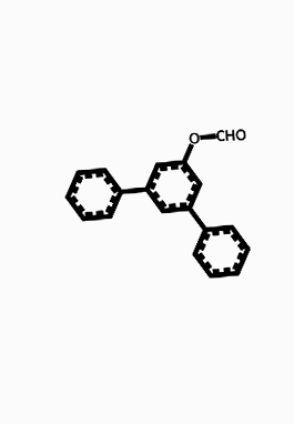 O=COc1cc(-c2ccccc2)cc(-c2ccccc2)c1